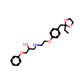 CCC1(Cc2ccc(OCCNCC(O)COc3ccccc3)cc2)OCCO1